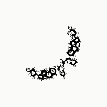 C[C@]12CC[C@H](C(COC(=O)OCC([C@@H]3C=C4CC[C@@H]5[C@H](CC[C@]6(C)[C@@H](c7ccc(=O)oc7)CC[C@]56O)[C@@]4(C)CC3)N3CCCC3)N3CCCC3)C=C1CC[C@@H]1[C@@H]2CC[C@]2(C)[C@@H](c3ccc(=O)oc3)CC[C@]12O